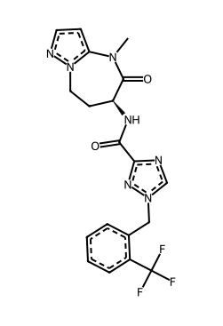 CN1C(=O)[C@@H](NC(=O)c2ncn(Cc3ccccc3C(F)(F)F)n2)CCn2nccc21